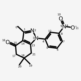 Cc1nn(-c2cccc([N+](=O)[O-])c2)c2c1C(=O)CC(C)(C)C2